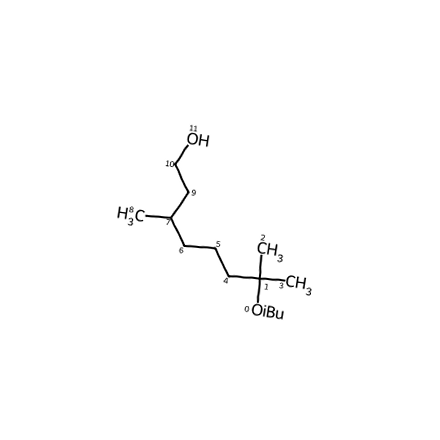 CC(C)COC(C)(C)CCCC(C)CCO